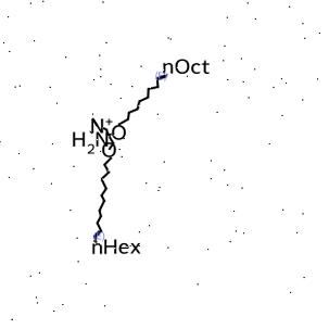 C=[N+](C)CC(N)(COCCCCCCCCCC/C=C/CCCCCC)OCCCCCCCC/C=C/CCCCCCCC